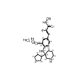 Cl.Cl.O=C(NO)/C(F)=C/c1cnc(N[C@@]2(C3CCCC3)CCCNC2)c(Cl)c1